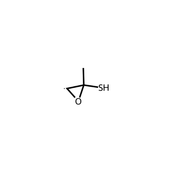 CC1(S)[CH]O1